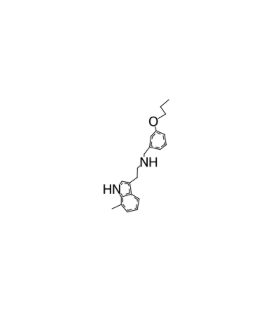 CCCOc1cccc(CNCCc2c[nH]c3c(C)cccc23)c1